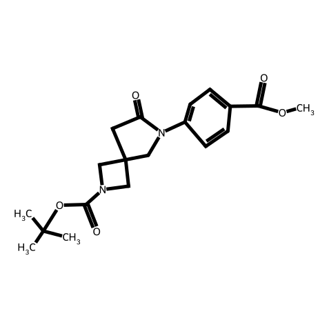 COC(=O)c1ccc(N2CC3(CC2=O)CN(C(=O)OC(C)(C)C)C3)cc1